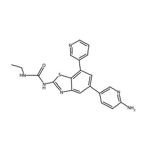 CCNC(=O)Nc1nc2cc(-c3ccc(N)nc3)cc(-c3cccnc3)c2s1